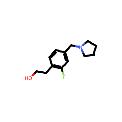 OCCc1ccc(CN2CCCC2)cc1F